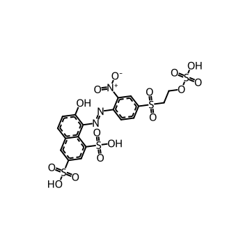 O=[N+]([O-])c1cc(S(=O)(=O)CCOS(=O)(=O)O)ccc1N=Nc1c(O)ccc2cc(S(=O)(=O)O)cc(S(=O)(=O)O)c12